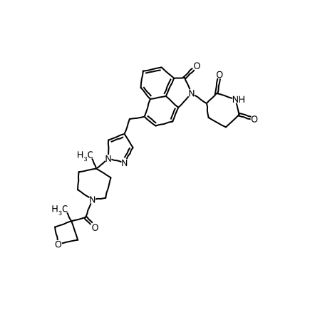 CC1(C(=O)N2CCC(C)(n3cc(Cc4ccc5c6c(cccc46)C(=O)N5C4CCC(=O)NC4=O)cn3)CC2)COC1